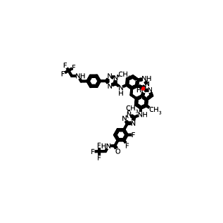 Cc1c(Nc2nc(-c3ccc(C(=O)NCC(F)(F)F)c(F)c3F)nn2C)cc(Cc2c(Nc3nc(-c4ccc(CNCC(F)(F)F)cc4)nn3C)ccc3[nH]ncc23)c2[nH]ncc12